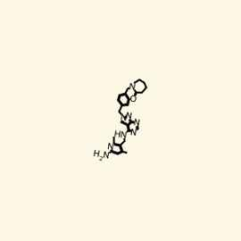 Cc1cc(N)nc(C)c1CNc1ncnc2nn(Cc3ccc(CN4CCCCCC4=O)cc3)cc12